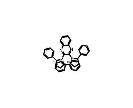 c1ccc(C2CC[C@@H](c3ccccc3)P2c2nc3ccccc3nc2P2C(c3ccccc3)CC[C@H]2c2ccccc2)cc1